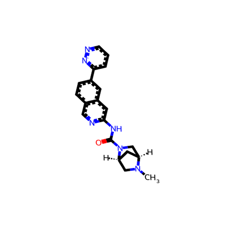 CN1C[C@@H]2C[C@H]1CN2C(=O)Nc1cc2cc(-c3cccnn3)ccc2cn1